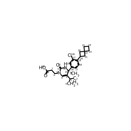 CC(C)C1=CN(CCC(=O)O)C(=O)N[C@@]1(C)c1ccc(C2CC3(CCC3)C2)c(Cl)c1